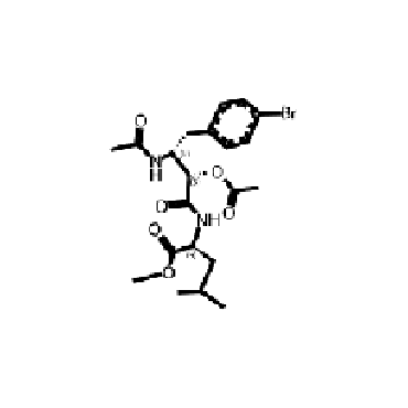 COC(=O)[C@H](CC(C)C)NC(=O)[C@@H](OC(C)=O)[C@@H](Cc1ccc(Br)cc1)NC(C)=O